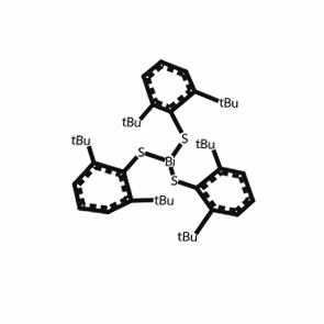 CC(C)(C)c1cccc(C(C)(C)C)c1[S][Bi]([S]c1c(C(C)(C)C)cccc1C(C)(C)C)[S]c1c(C(C)(C)C)cccc1C(C)(C)C